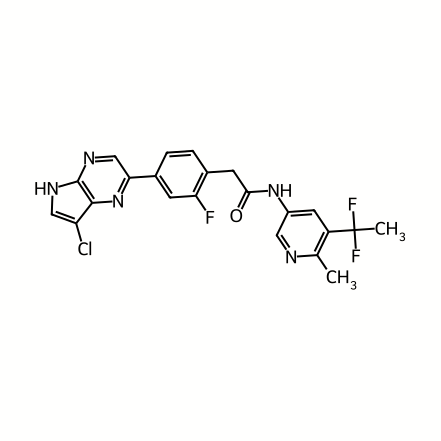 Cc1ncc(NC(=O)Cc2ccc(-c3cnc4[nH]cc(Cl)c4n3)cc2F)cc1C(C)(F)F